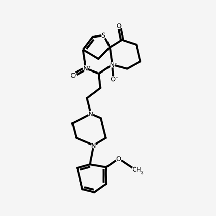 COc1ccccc1N1CCN(CCC2[N+](=O)C3=CSC4(C3)C(=O)CCC[N+]24[O-])CC1